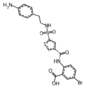 Nc1ccc(CCNS(=O)(=O)c2cc(C(=O)Nc3ccc(Br)cc3C(=O)O)cs2)cc1